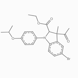 CCOC(=O)C1N(c2ccc(OC(C)C)cc2)c2ccc(Br)cc2C1(C)C(C)=O